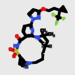 Cc1c2cnn1CCC[C@@H]1CN(c3nc(-n4ccc(OCCC5(C(F)(F)F)CC5)n4)ccc3C(=O)NS2(=O)=O)C(C)(C)C1